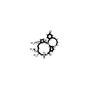 CO[C@H]1/C=C/[C@H](OC)[C@H](C)C/[SH](=O)=N\C(=O)c2ccc3c(c2)N(Cc2ccc(Cl)cc2CCCCO3)C[C@@H]2CC[C@H]21